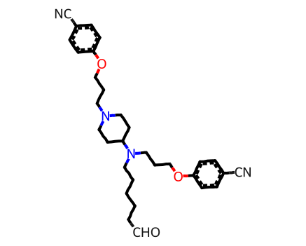 N#Cc1ccc(OCCCN2CCC(N(CCCCCC=O)CCCOc3ccc(C#N)cc3)CC2)cc1